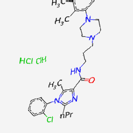 CCCc1nc(C(=O)NCCCN2CCN(c3cccc(C)c3C)CC2)c(C)n1-c1ccccc1Cl.Cl.Cl